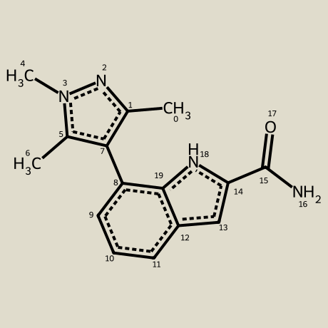 Cc1nn(C)c(C)c1-c1cccc2cc(C(N)=O)[nH]c12